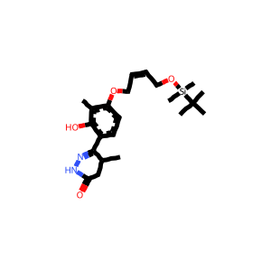 Cc1c(OC/C=C\CO[Si](C)(C)C(C)(C)C)ccc(C2=NNC(=O)CC2C)c1O